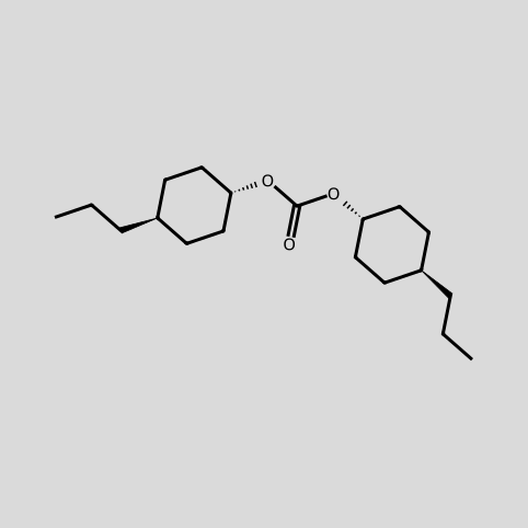 CCC[C@H]1CC[C@H](OC(=O)O[C@H]2CC[C@H](CCC)CC2)CC1